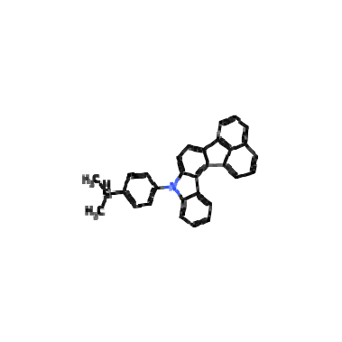 C[SiH](C)c1ccc(-n2c3ccccc3c3c4c(ccc32)-c2cccc3cccc-4c23)cc1